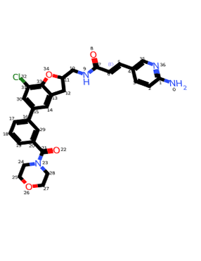 Nc1ccc(/C=C/C(=O)NCC2Cc3cc(-c4cccc(C(=O)N5CCOCC5)c4)cc(Cl)c3O2)cn1